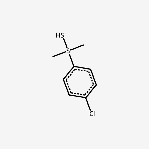 CS(C)(S)c1ccc(Cl)cc1